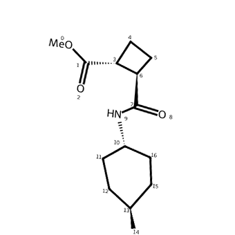 COC(=O)[C@@H]1CC[C@H]1C(=O)N[C@H]1CC[C@H](C)CC1